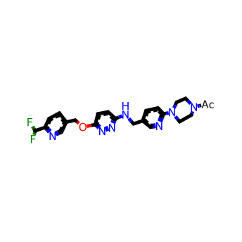 CC(=O)N1CCN(c2ccc(CNc3ccc(OCc4ccc(C(F)F)nc4)nn3)cn2)CC1